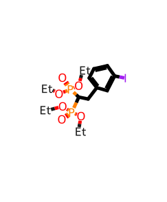 CCOP(=O)(OCC)C(Cc1cccc(I)c1)P(=O)(OCC)OCC